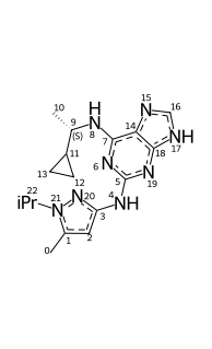 Cc1cc(Nc2nc(N[C@@H](C)C3CC3)c3nc[nH]c3n2)nn1C(C)C